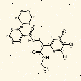 N#CCNC(=O)C(CNC(=O)c1ccccc1N1CCOCC1)c1cc(Br)c(O)c(Br)c1